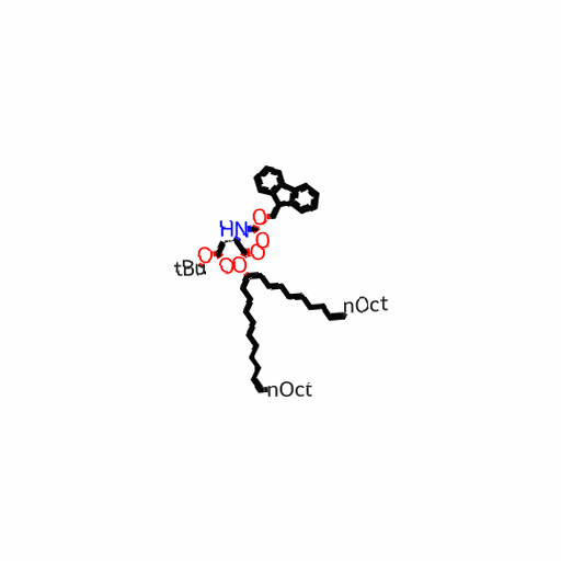 CCCCCCCC/C=C\CCCCCCCCC(CCCCCCC/C=C\CCCCCCCC)OC(=O)[C@H](CC(=O)OC(C)(C)C)NC(=O)OCC1c2ccccc2-c2ccccc21